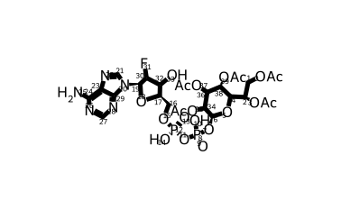 CC(=O)OC[C@@H](OC(C)=O)C1O[C@@H](OP(=O)(O)OP(=O)(O)OC[C@H]2O[C@@H](n3cnc4c(N)ncnc43)C(F)C2O)C(OC(C)=O)C(OC(C)=O)[C@@H]1OC(C)=O